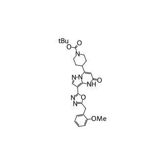 COc1ccccc1Cc1nnc(-c2cnn3c(C4CCN(C(=O)OC(C)(C)C)CC4)cc(=O)[nH]c23)o1